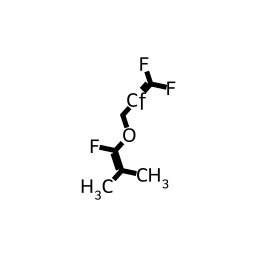 CC(C)=C(F)O[CH2][Cf]=[C](F)F